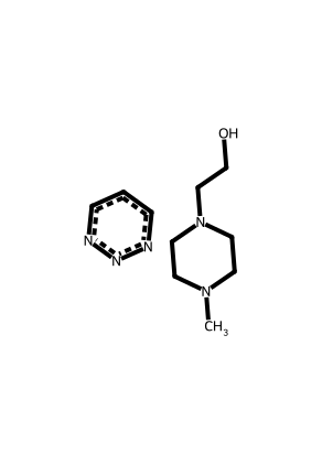 CN1CCN(CCO)CC1.c1cnnnc1